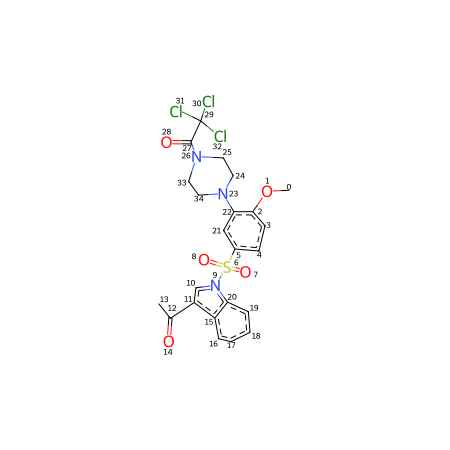 COc1ccc(S(=O)(=O)n2cc(C(C)=O)c3ccccc32)cc1N1CCN(C(=O)C(Cl)(Cl)Cl)CC1